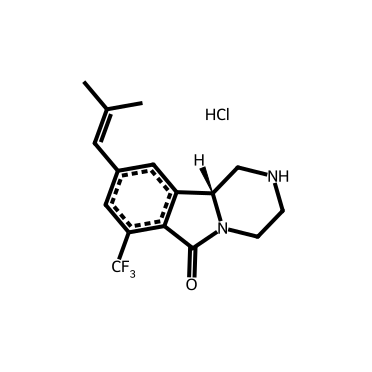 CC(C)=Cc1cc2c(c(C(F)(F)F)c1)C(=O)N1CCNC[C@@H]21.Cl